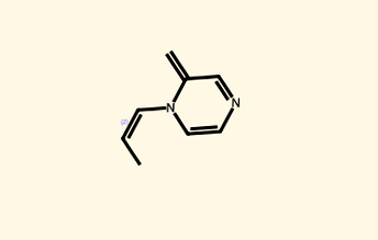 C=C1C=NC=CN1/C=C\C